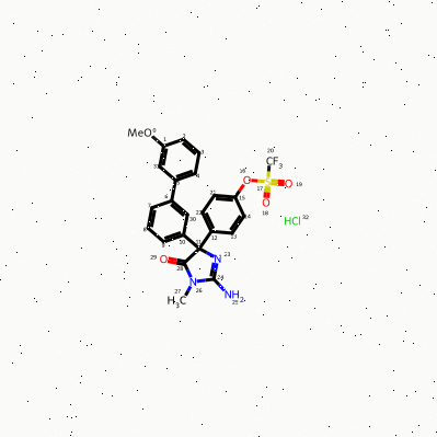 COc1cccc(-c2cccc(C3(c4ccc(OS(=O)(=O)C(F)(F)F)cc4)N=C(N)N(C)C3=O)c2)c1.Cl